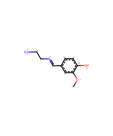 COc1cc(/C=N/CCN)ccc1O